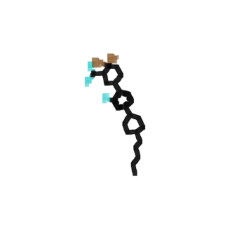 CCCCCC1CCC(c2ccc(C3CCC(Br)(Br)C(C(F)F)C3)c(F)c2)CC1